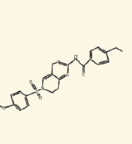 CCc1ccc(C(=O)NC2=NCC3=CN(S(=O)(=O)c4ccc(OC)cc4)CCC3=N2)cc1